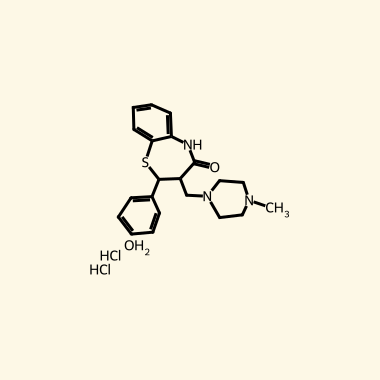 CN1CCN(CC2C(=O)Nc3ccccc3SC2c2ccccc2)CC1.Cl.Cl.O